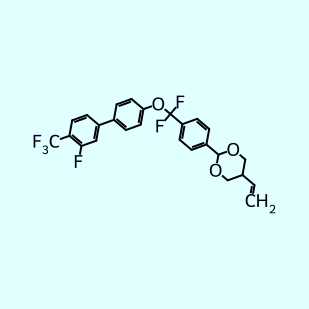 C=CC1COC(c2ccc(C(F)(F)Oc3ccc(-c4ccc(C(F)(F)F)c(F)c4)cc3)cc2)OC1